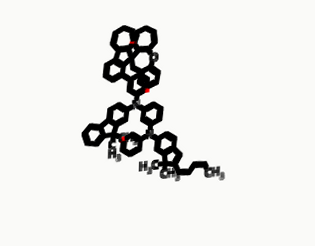 C/C=C\C=C/C1=Cc2ccc(N(c3ccccc3)c3cccc(N(c4cccc(-c5cccc6c5C5(Cc7ccccc7OC7=C5C=CCC=C7)C5=C6C=CCC=C5)c4)c4ccc5c(c4)C(C)(C)c4ccccc4-5)c3)cc2C1(C)C